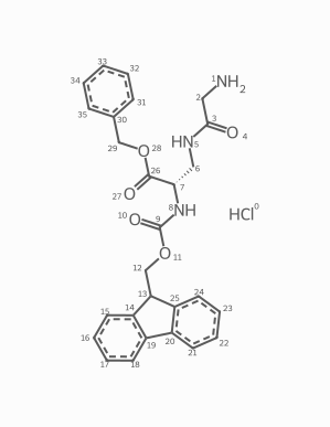 Cl.NCC(=O)NC[C@H](NC(=O)OCC1c2ccccc2-c2ccccc21)C(=O)OCc1ccccc1